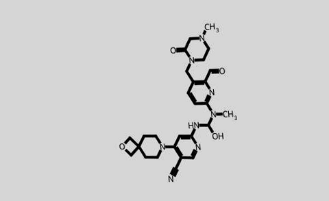 CN1CCN(Cc2ccc(N(C)C(O)Nc3cc(N4CCC5(CC4)COC5)c(C#N)cn3)nc2C=O)C(=O)C1